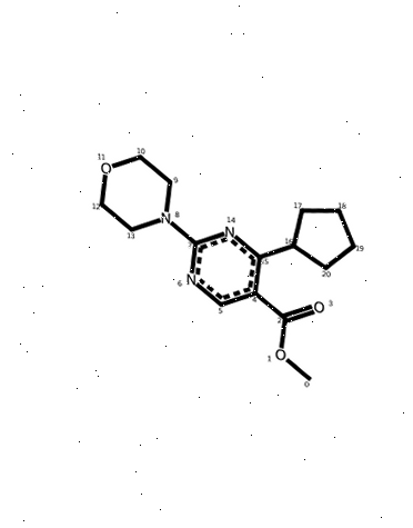 COC(=O)c1cnc(N2CCOCC2)nc1C1CCCC1